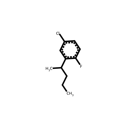 CCCC(C)c1cc(Cl)ccc1F